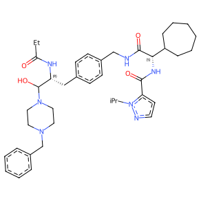 CCC(=O)N[C@H](Cc1ccc(CNC(=O)[C@@H](NC(=O)c2ccnn2C(C)C)C2CCCCCC2)cc1)C(O)N1CCN(Cc2ccccc2)CC1